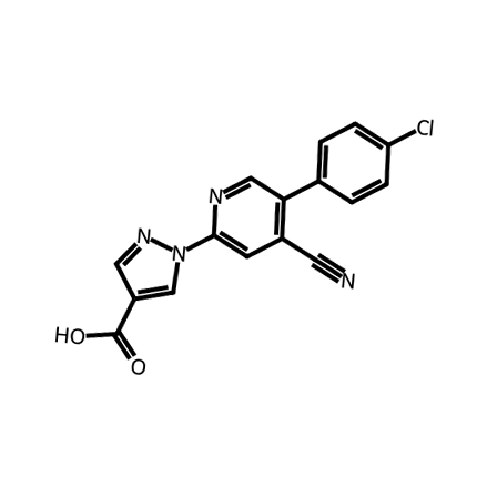 N#Cc1cc(-n2cc(C(=O)O)cn2)ncc1-c1ccc(Cl)cc1